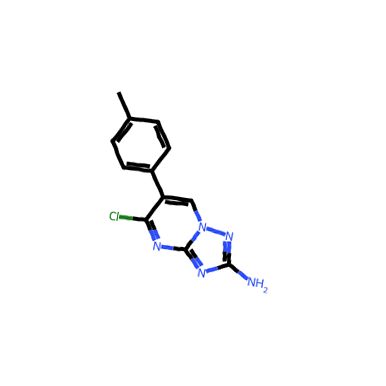 Cc1ccc(-c2cn3nc(N)nc3nc2Cl)cc1